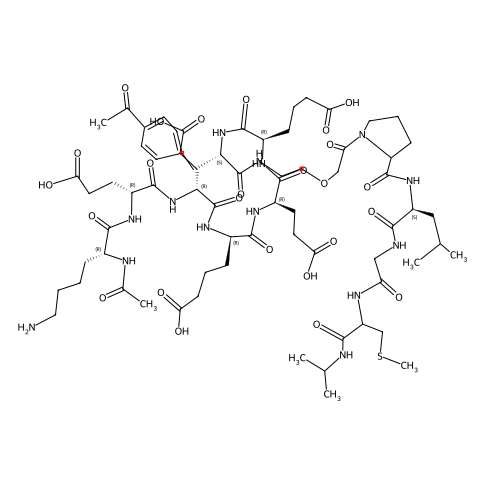 CSCC(NC(=O)CNC(=O)[C@H](CC(C)C)NC(=O)C1CCCN1C(=O)COCCNC(=O)[C@H](Cc1ccc(C(C)=O)cc1)NC(=O)[C@@H](CCCC(=O)O)NC(=O)[C@@H](CCC(=O)O)NC(=O)[C@@H](CCCC(=O)O)NC(=O)[C@@H](CCC(=O)O)NC(=O)[C@@H](CCC(=O)O)NC(=O)[C@@H](CCCCN)NC(C)=O)C(=O)NC(C)C